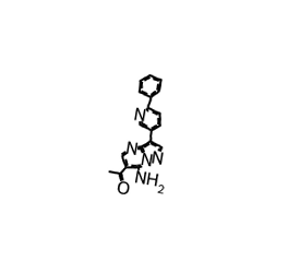 CC(=O)c1cnc2c(-c3ccc(-c4ccccc4)nc3)cnn2c1N